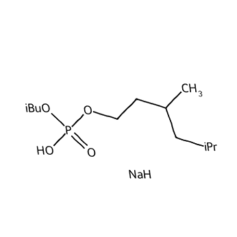 CC(C)COP(=O)(O)OCCC(C)CC(C)C.[NaH]